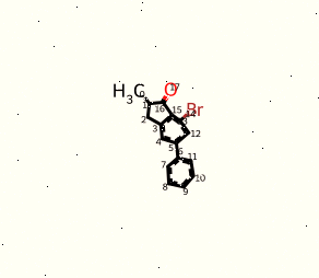 CC1Cc2cc(-c3ccccc3)cc(Br)c2C1=O